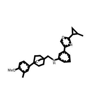 COc1ccc(C23CCC(CNc4cccc(-c5coc(C6CC6C)n5)c4)(CC2)CC3)cc1C